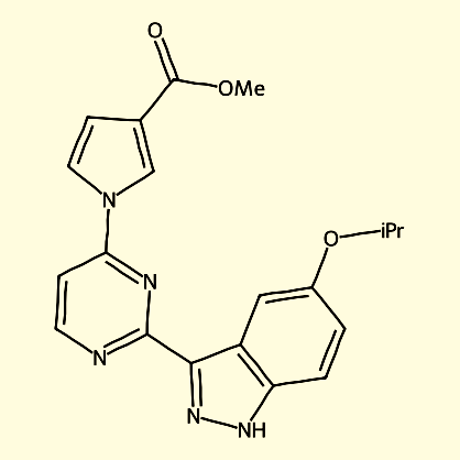 COC(=O)c1ccn(-c2ccnc(-c3n[nH]c4ccc(OC(C)C)cc34)n2)c1